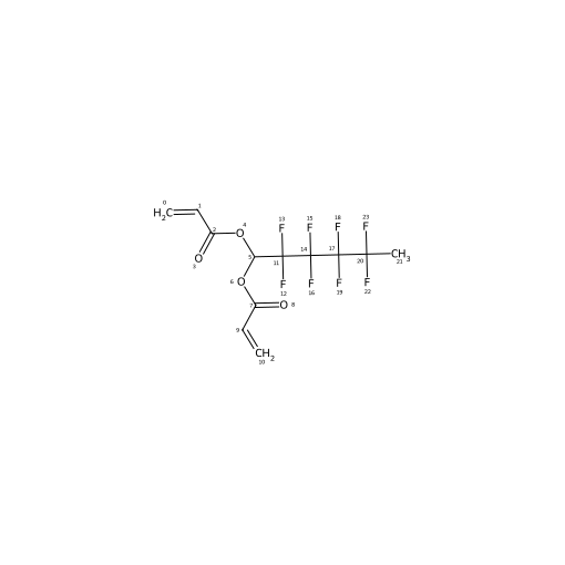 C=CC(=O)OC(OC(=O)C=C)C(F)(F)C(F)(F)C(F)(F)C(C)(F)F